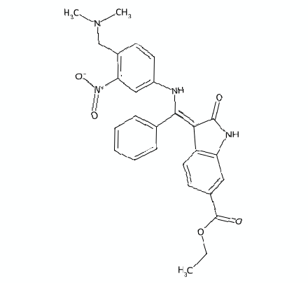 CCOC(=O)c1ccc2c(c1)NC(=O)/C2=C(\Nc1ccc(CN(C)C)c([N+](=O)[O-])c1)c1ccccc1